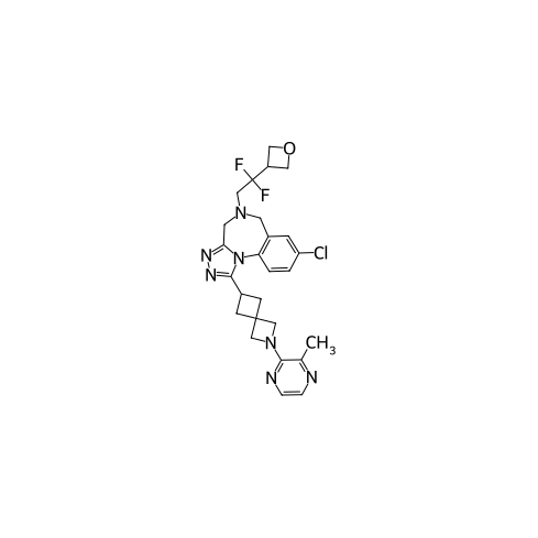 Cc1nccnc1N1CC2(CC(c3nnc4n3-c3ccc(Cl)cc3CN(CC(F)(F)C3COC3)C4)C2)C1